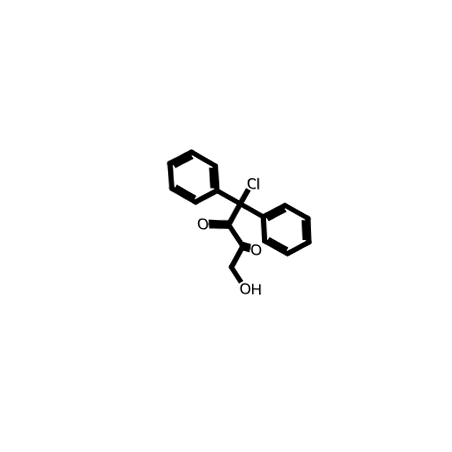 O=C(CO)C(=O)C(Cl)(c1ccccc1)c1ccccc1